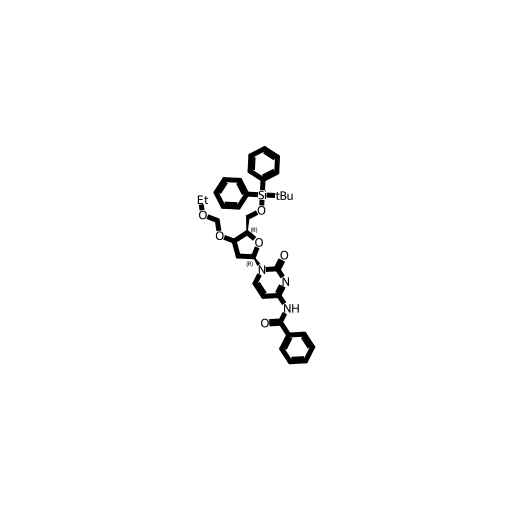 CCOCOC1C[C@H](n2ccc(NC(=O)c3ccccc3)nc2=O)O[C@@H]1CO[Si](c1ccccc1)(c1ccccc1)C(C)(C)C